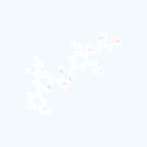 CCc1cc(-c2noc(-c3cc(OC)cc(C(CC)CC)n3)n2)cc(C)c1OCC(O)CO